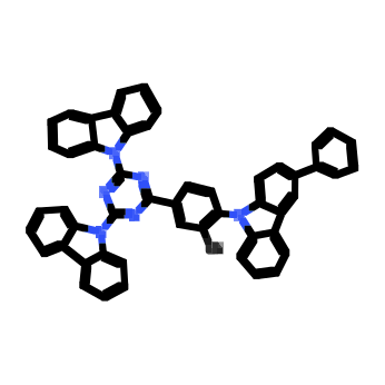 N#Cc1cc(-c2nc(-n3c4ccccc4c4ccccc43)nc(-n3c4ccccc4c4ccccc43)n2)ccc1-n1c2ccccc2c2cc(-c3ccccc3)ccc21